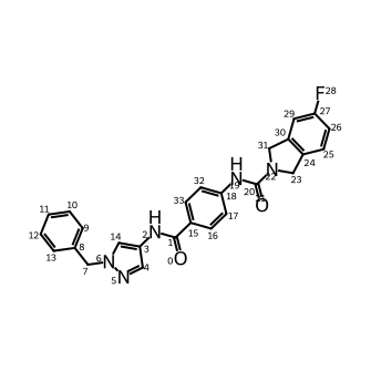 O=C(Nc1cnn(Cc2ccccc2)c1)c1ccc(NC(=O)N2Cc3ccc(F)cc3C2)cc1